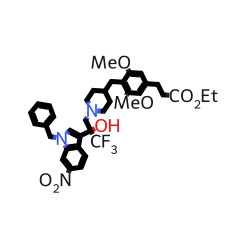 CCOC(=O)CCc1cc(OC)c(CC2CCN(CC(O)(c3cn(Cc4ccccc4)c4cc([N+](=O)[O-])ccc34)C(F)(F)F)CC2)c(OC)c1